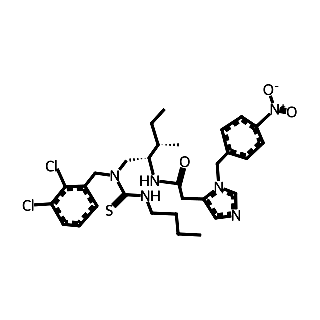 CCCCNC(=S)N(Cc1cccc(Cl)c1Cl)C[C@@H](NC(=O)Cc1cncn1Cc1ccc([N+](=O)[O-])cc1)[C@@H](C)CC